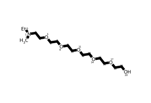 CCN(C)CCOCCOCCOCCOCCOCCO